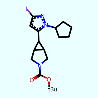 CC(C)(C)OC(=O)N1CC2C(C1)C2c1cc(I)nn1C1CCCC1